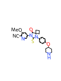 COc1cc(N2C(=O)C3(CCC3)N(c3ccc(OC4CCNCC4)cc3)C2=S)cnc1C#N